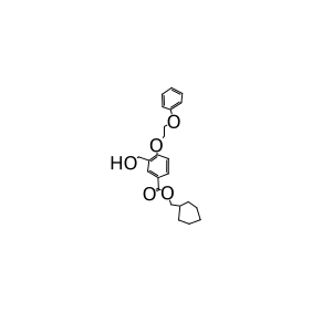 O=C(OCC1CCCCC1)c1ccc(OCCOc2ccccc2)c(CO)c1